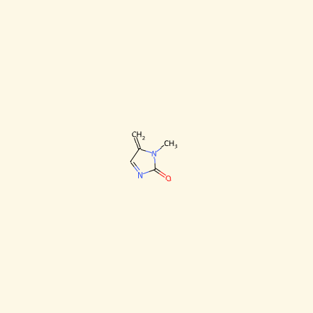 C=C1C=NC(=O)N1C